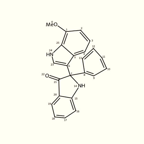 COc1cccc2c(C3(c4ccccc4)Nc4ccccc4C3=O)c[nH]c12